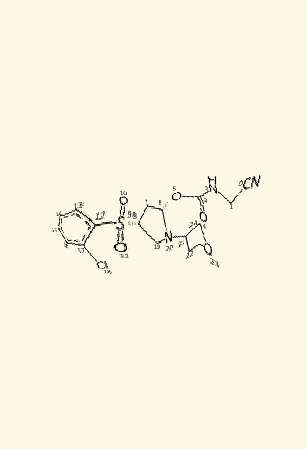 N#CCNC(=O)O[C@H]1C[C@@H](S(=O)(=O)c2ccccc2Cl)CN1C1COC1